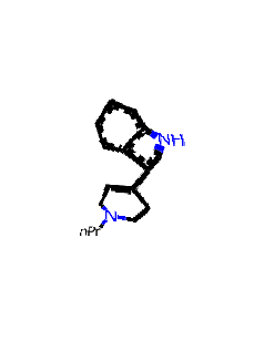 [CH2]CCN1CC=C(c2c[nH]c3ccccc23)CC1